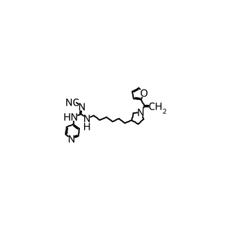 C=C(c1ccco1)N1CCC(CCCCCCN/C(=N/C#N)Nc2ccncc2)C1